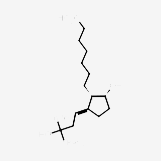 CCCCCC(O)(CC=C1CC[C@H](O)[C@@H]1CCCCCCC(=O)O)CCCCC